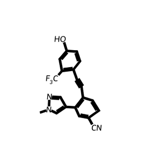 Cn1cc(-c2cc(C#N)ccc2C#Cc2ccc(O)cc2C(F)(F)F)cn1